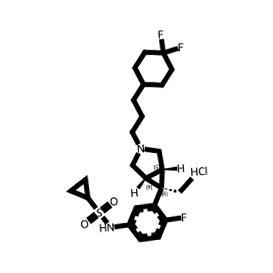 CC[C@]1(c2cc(NS(=O)(=O)C3CC3)ccc2F)[C@@H]2CN(CCCC3CCC(F)(F)CC3)C[C@@H]21.Cl